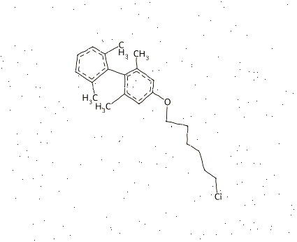 Cc1cccc(C)c1-c1c(C)cc(OCCCCCCCl)cc1C